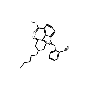 CCCCCC1CC(=O)c2c(n(Cc3ccccc3C#N)c3cccc(C(=O)OC)c23)C1